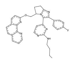 CCCCNc1nccc(-c2c(-c3ccc(F)cc3)nc3n2C(COc2ccc4ccc5cccnc5c4n2)CC3)n1